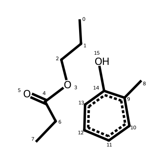 CCCOC(=O)CC.Cc1ccccc1O